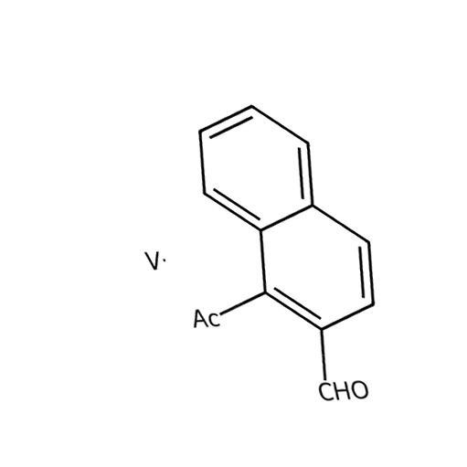 CC(=O)c1c(C=O)ccc2ccccc12.[V]